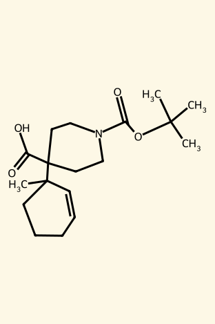 CC(C)(C)OC(=O)N1CCC(C(=O)O)(C2(C)C=CCCC2)CC1